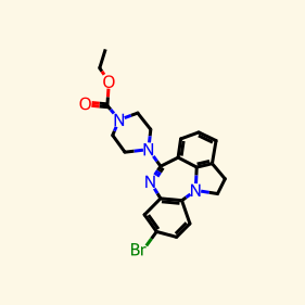 CCOC(=O)N1CCN(C2=Nc3cc(Br)ccc3N3CCc4cccc2c43)CC1